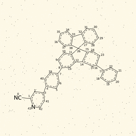 N#Cc1cc(-c2ccc(-c3ccc4c(c3)-c3cc(-c5ccccc5)ccc3C43c4ccccc4-c4ccccc43)cc2)ccn1